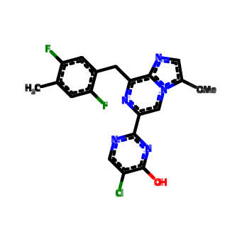 COc1cnc2c(Cc3cc(F)c(C)cc3F)nc(-c3ncc(Cl)c(O)n3)cn12